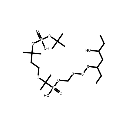 CCC(O)CC(CC)SSSCOP(=O)(O)C(C)(C)OCCC(C)(C)OP(=O)(O)OC(C)(C)C